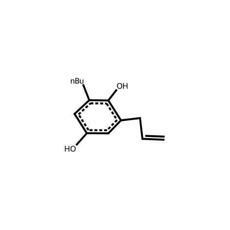 C=CCc1cc(O)cc(CCCC)c1O